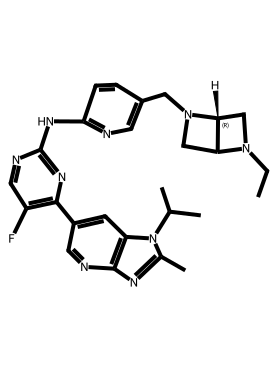 CCN1C[C@@H]2C1CN2Cc1ccc(Nc2ncc(F)c(-c3cnc4nc(C)n(C(C)C)c4c3)n2)nc1